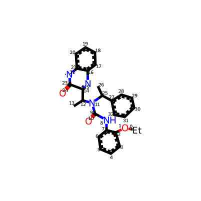 CCOc1ccccc1NC(=O)N(C(C)C1=Nc2ccccc2[N]C1=O)C(C)c1ccccc1